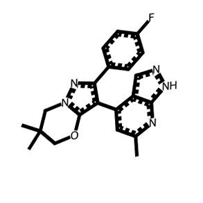 Cc1cc(-c2c(-c3ccc(F)cc3)nn3c2OCC(C)(C)C3)c2cn[nH]c2n1